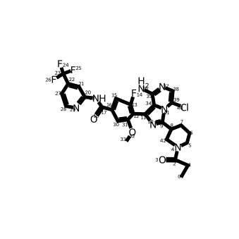 CCC(=O)N1CCCC(c2nc(-c3c(F)cc(C(=O)Nc4cc(C(F)(F)F)ccn4)cc3OC)c3c(N)ncc(Cl)n23)C1